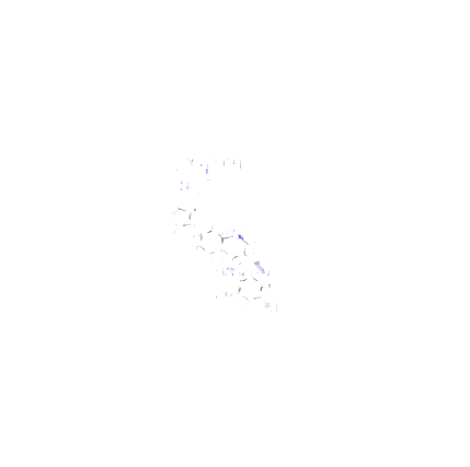 CCN1CCN(Cc2cc(-c3ccc4c(Nc5ccc(Cl)cc5Cl)c(C#N)cnc4c3)cs2)CC1